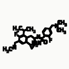 C=NCc1cc(C2CC2)c(CC(=O)N=S(N)(=O)c2ccc(CN(C)C)cc2F)c(C(C)C)c1F